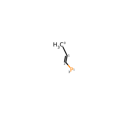 CC=C[P]